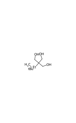 CC(C)(C)C.CCC(CO)(CO)CO